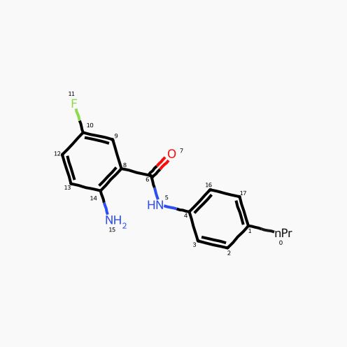 CCCc1ccc(NC(=O)c2cc(F)ccc2N)cc1